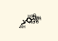 CNCCN(C)C1=CC=C(C(P(=O)(O)O)P(=O)(O)O)CC1